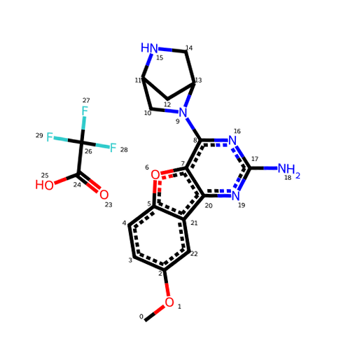 COc1ccc2oc3c(N4CC5CC4CN5)nc(N)nc3c2c1.O=C(O)C(F)(F)F